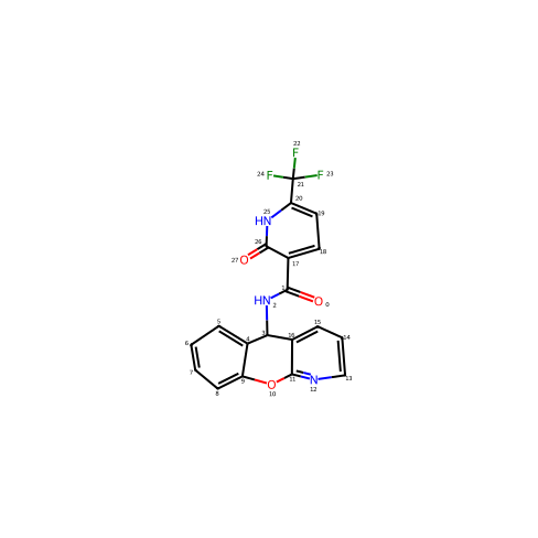 O=C(NC1c2ccccc2Oc2ncccc21)c1ccc(C(F)(F)F)[nH]c1=O